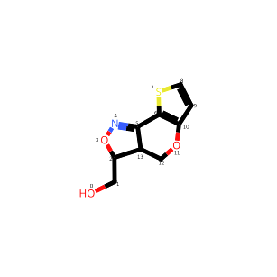 OCC1ON=C2c3sccc3OCC21